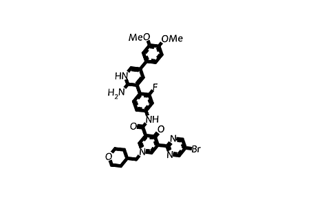 COc1ccc(C2=CNC(N)C(c3ccc(NC(=O)c4cn(CC5CCOCC5)cc(-c5ncc(Br)cn5)c4=O)cc3F)=C2)cc1OC